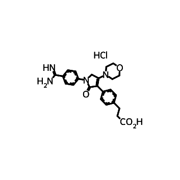 Cl.N=C(N)c1ccc(N2CC(N3CCOCC3)=C(c3ccc(CCC(=O)O)cc3)C2=O)cc1